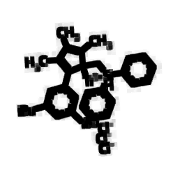 CCC(C)c1cc(C2=C(C)C(C)=C(C)[C]2([Ti+3])C[SiH](c2ccccc2)c2ccccc2)cc(C(C)CC)c1.[Cl-].[Cl-].[Cl-]